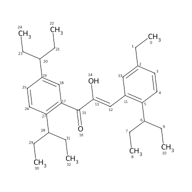 CCc1ccc(C(CC)CC)c(C=C(O)C(=O)c2cc(C(CC)CC)ccc2C(CC)CC)c1